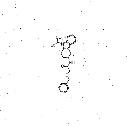 CCC(C(=O)O)n1c2c(c3ccccc31)C[C@H](NC(=O)COCc1ccccc1)CC2